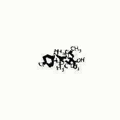 CC(C)C[C@@](NC(=O)Nc1ccc(Cl)cc1)(C(=O)O)C(C)(C)C